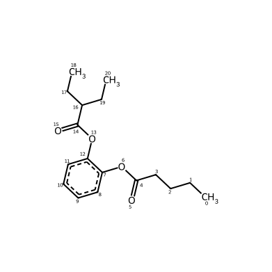 CCCCC(=O)Oc1ccccc1OC(=O)C(CC)CC